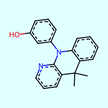 CC1(C)c2ccccc2N(c2cccc(O)c2)c2ncccc21